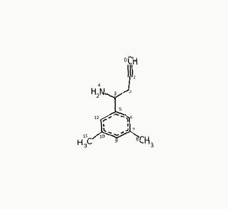 C#CC[C](N)c1cc(C)cc(C)c1